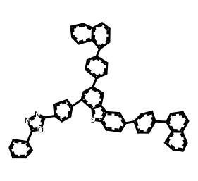 c1ccc(-c2nnc(-c3ccc(-c4cc(-c5ccc(-c6cccc7ccccc67)cc5)cc5c4sc4ccc(-c6ccc(-c7cccc8ccccc78)cc6)cc45)cc3)o2)cc1